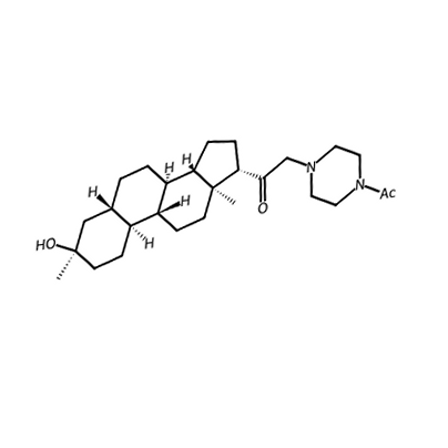 CC(=O)N1CCN(CC(=O)[C@H]2CC[C@H]3[C@@H]4CC[C@H]5C[C@](C)(O)CC[C@@H]5[C@H]4CC[C@]23C)CC1